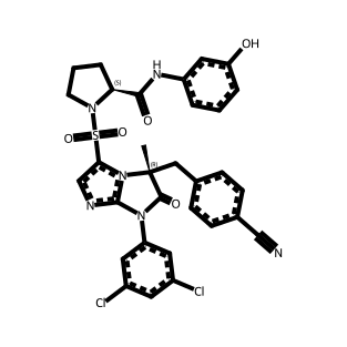 C[C@@]1(Cc2ccc(C#N)cc2)C(=O)N(c2cc(Cl)cc(Cl)c2)c2ncc(S(=O)(=O)N3CCC[C@H]3C(=O)Nc3cccc(O)c3)n21